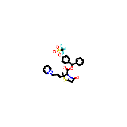 CC1(/C=C/C[n+]2ccccc2)SC2CC(=O)N2C1C(=O)OC(c1ccccc1)c1ccccc1.O=S(=O)([O-])C(F)(F)F